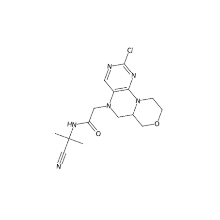 CC(C)(C#N)NC(=O)CN1CC2COCCN2c2nc(Cl)ncc21